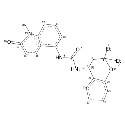 CCC1(CC)C[C@@H](NC(=O)Nc2cccc3c2ccc(=O)n3C)c2ccccc2O1